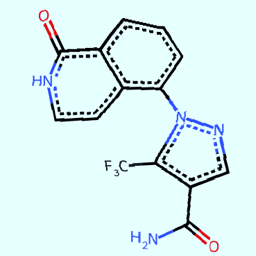 NC(=O)c1cnn(-c2cccc3c(=O)[nH]ccc23)c1C(F)(F)F